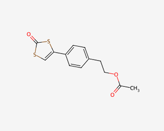 CC(=O)OCCc1ccc(-c2csc(=O)s2)cc1